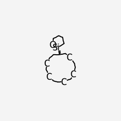 C1CCCCCCCC(=[Si]2CCCCO2)CCCCCC1